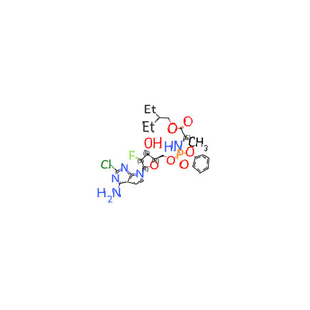 CCC(CC)COC(=O)[C@H](C)NP(=O)(OC[C@H]1O[C@@H](n2ccc3c(N)nc(Cl)nc32)[C@@H](F)[C@@H]1O)Oc1ccccc1